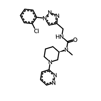 CN(C(=O)NCc1cn(-c2ccccc2Cl)nn1)[C@@H]1CCCN(c2cccnn2)C1